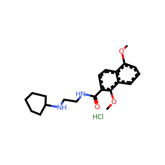 COc1cccc2c(OC)c(C(=O)NCCNC3CCCCC3)ccc12.Cl